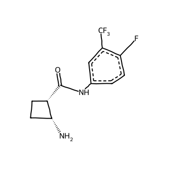 N[C@@H]1CC[C@@H]1C(=O)Nc1ccc(F)c(C(F)(F)F)c1